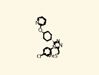 CSCc1nnc([C@H]2CC[C@H](Oc3ccccn3)CC2)n1-c1ccc(Cl)cc1